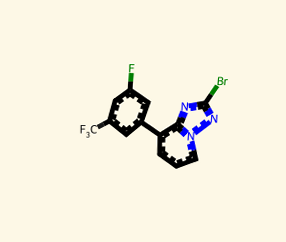 Fc1cc(-c2cccn3nc(Br)nc23)cc(C(F)(F)F)c1